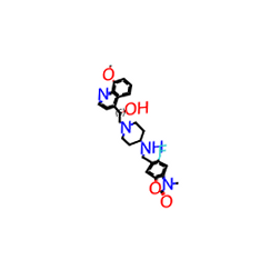 COc1cccc2c([C@H](O)CN3CCC(NCc4cc5oc(=O)n(C)c5cc4F)CC3)ccnc12